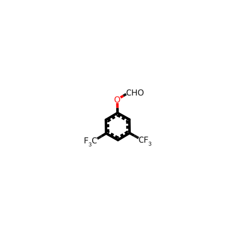 O=COc1cc(C(F)(F)F)cc(C(F)(F)F)c1